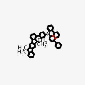 CC1(C)c2ccccc2-c2cc3c(cc21)-c1cccc(-c2ccc(N(c4ccc(-c5ccccc5)cc4)c4ccccc4-c4ccccc4)cc2)c1C3(C)C